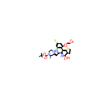 COCCOc1cc(F)cc(F)c1-c1c(-c2cc3n(n2)CCN(C(=O)OC(C)(C)C)[C@@H]3C)nc(O)c2ccsc12